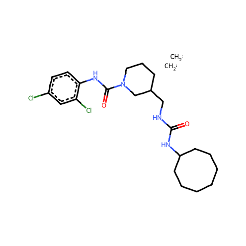 O=C(NCC1CCCN(C(=O)Nc2ccc(Cl)cc2Cl)C1)N[C]1CCCCCCC1.[CH2].[CH2]